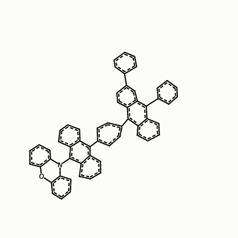 c1ccc(-c2ccc3c(-c4ccc(-c5c6ccccc6c(N6c7ccccc7Oc7ccccc76)c6ccccc56)cc4)c4ccccc4c(-c4ccccc4)c3c2)cc1